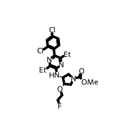 CCc1nc(-c2ccc(Cl)cc2Cl)c(CC)nc1N[C@@H]1CN(C(=O)OC)C[C@@H]1OCCF